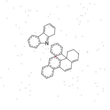 C1=CCC2=Nc3ccccc3C2=C1.C1=Cc2c(ccc3ccccc23)C2(c3ccccc3)CCCC=C12